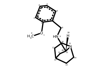 COc1ccccc1CN[C@H]1CC2CCN1CC2